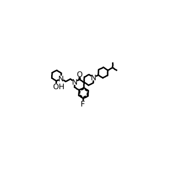 CC(C)C1CCC(N2CCC3(CC2)C(=O)N(CCN2CCCCC2O)Cc2cc(F)ccc23)CC1